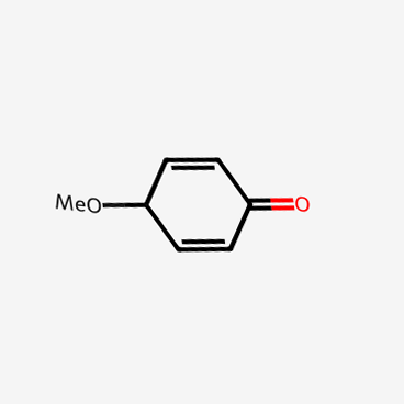 COC1C=CC(=O)C=C1